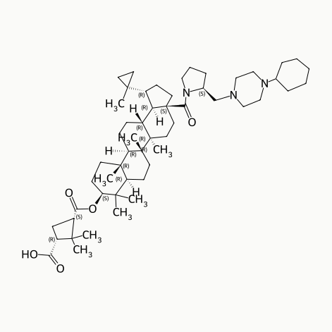 CC1([C@@H]2CC[C@]3(C(=O)N4CCC[C@H]4CN4CCN(C5CCCCC5)CC4)CC[C@]4(C)[C@H](CC[C@@H]5[C@@]6(C)CC[C@H](OC(=O)[C@H]7C[C@@H](C(=O)O)C7(C)C)C(C)(C)[C@@H]6CC[C@]54C)[C@@H]23)CC1